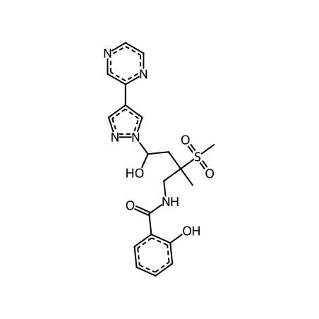 CC(CNC(=O)c1ccccc1O)(CC(O)n1cc(-c2cnccn2)cn1)S(C)(=O)=O